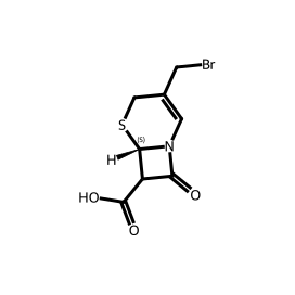 O=C(O)C1C(=O)N2C=C(CBr)CS[C@@H]12